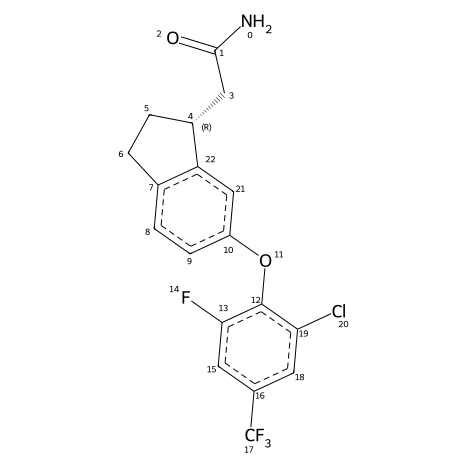 NC(=O)C[C@H]1CCc2ccc(Oc3c(F)cc(C(F)(F)F)cc3Cl)cc21